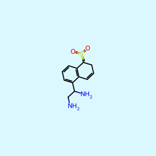 NCC(N)c1cccc2c1C=CCC2=S(=O)=O